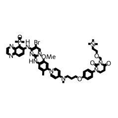 COc1cc(-[n+]2ccc(N(C)CCCOc3ccc(N4CCC(=O)N(COCC[Si](C)(C)C)C4=O)cc3)cc2)c(C)cc1Nc1ncc(Br)c(Nc2ccc3nccnc3c2P(C)(C)=O)n1